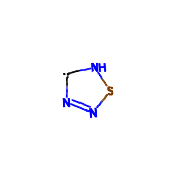 [CH]1N=NSN1